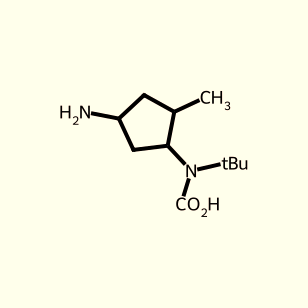 CC1CC(N)CC1N(C(=O)O)C(C)(C)C